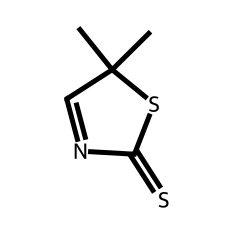 CC1(C)C=NC(=S)S1